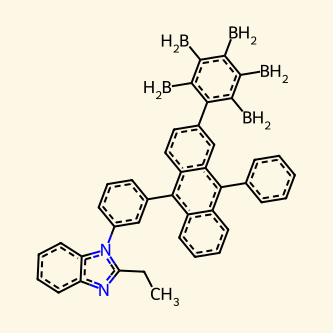 Bc1c(B)c(B)c(-c2ccc3c(-c4cccc(-n5c(CC)nc6ccccc65)c4)c4ccccc4c(-c4ccccc4)c3c2)c(B)c1B